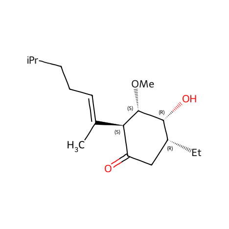 CC[C@@H]1CC(=O)[C@@H](C(C)=CCCC(C)C)[C@H](OC)[C@@H]1O